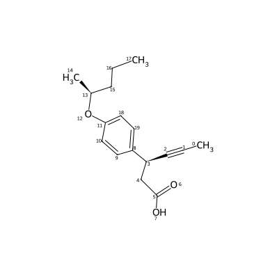 CC#C[C@@H](CC(=O)O)c1ccc(O[C@@H](C)CCC)cc1